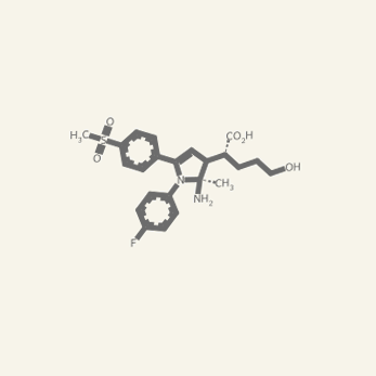 C[C@@]1(N)C([C@@H](CCCO)C(=O)O)C=C(c2ccc(S(C)(=O)=O)cc2)N1c1ccc(F)cc1